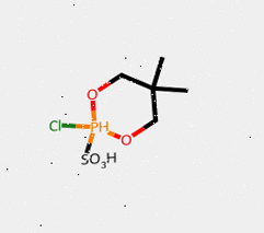 CC1(C)CO[PH](Cl)(S(=O)(=O)O)OC1